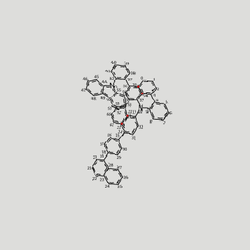 c1ccc(-c2ccccc2N(c2ccc(-c3ccc(-c4cccc5ccccc45)cc3)cc2)c2ccc(-c3ccccc3-n3c4ccccc4c4ccccc43)cc2-c2ccccc2)cc1